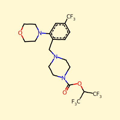 O=C(OC(C(F)(F)F)C(F)(F)F)N1CCN(Cc2ccc(C(F)(F)F)cc2N2CCOCC2)CC1